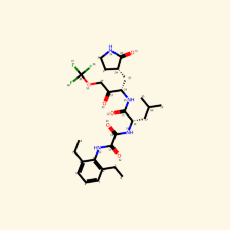 CCc1cccc(CC)c1NC(=O)C(=O)N[C@@H](CC(C)C)C(=O)N[C@@H](C[C@@H]1CCNC1=O)C(=O)COC(F)(F)F